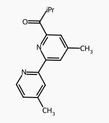 Cc1ccnc(-c2cc(C)cc(C(=O)C(C)C)n2)c1